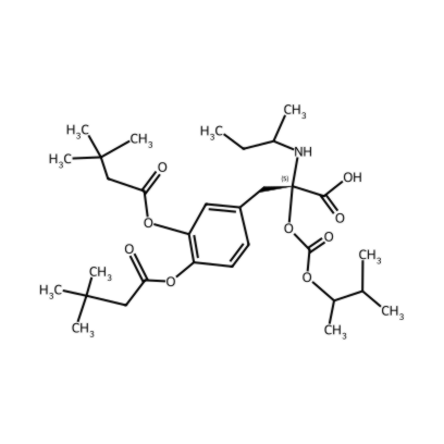 CCC(C)N[C@@](Cc1ccc(OC(=O)CC(C)(C)C)c(OC(=O)CC(C)(C)C)c1)(OC(=O)OC(C)C(C)C)C(=O)O